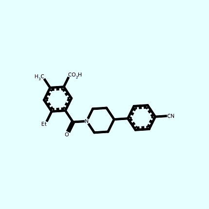 CCc1cc(C)c(C(=O)O)cc1C(=O)N1CCC(c2ccc(C#N)cc2)CC1